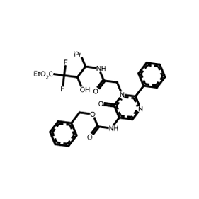 CCOC(=O)C(F)(F)C(O)C(NC(=O)Cn1c(-c2ccccc2)ncc(NC(=O)OCc2ccccc2)c1=O)C(C)C